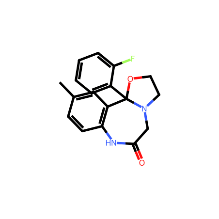 Cc1ccc2c(c1)C1(c3ccccc3F)OCCN1CC(=O)N2